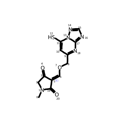 CN1CC(=O)/C(=C\OCc2cc(S)n3ncnc3n2)C1=O